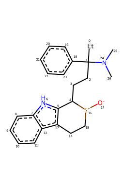 CCC(CCC1c2[nH]c3ccccc3c2CC[S+]1[O-])(c1ccccc1)N(C)C